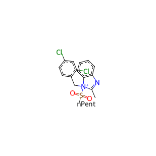 CCCCCS(=O)(=O)[N+]1(Cc2ccc(Cl)cc2Cl)C(C)=Nc2ccccc21